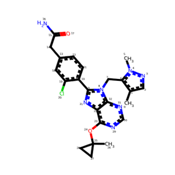 Cc1cnn(C)c1Cn1c(-c2ccc(CC(N)=O)cc2Cl)nc2c(OC3(C)CC3)ncnc21